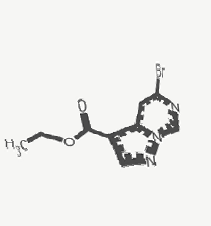 CCOC(=O)c1cnn2cnc(Br)cc12